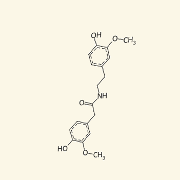 COc1cc(CCNC(=O)Cc2ccc(O)c(OC)c2)ccc1O